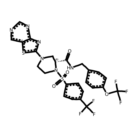 O=C(NCc1ccc(OC(F)(F)F)cc1)[C@H]1CN(c2nc3ncncc3s2)CCN1S(=O)(=O)c1ccc(C(F)(F)F)cc1